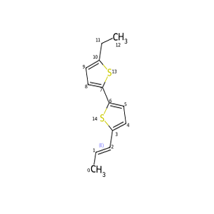 C/C=C/c1ccc(-c2ccc(CC)s2)s1